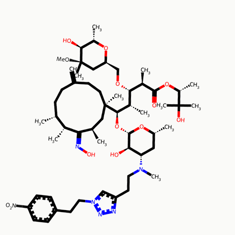 C=C1CC[C@@H](C)[C@@H](C)/C(=N/O)[C@H](C)C[C@](C)([C@H](O[C@@H]2O[C@H](C)C[C@H](N(C)CCc3cn(CCc4ccc([N+](=O)[O-])cc4)nn3)[C@H]2O)[C@@H](C)[C@H](OC[C@H]2C[C@@](C)(OC)[C@@H](O)[C@H](C)O2)[C@@H](C)C(=O)O[C@H](C)C(C)(C)O)CC1